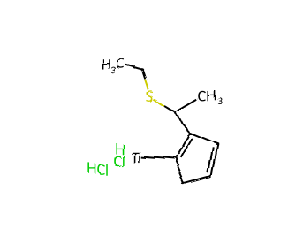 CCSC(C)C1=[C]([Ti])CC=C1.Cl.Cl